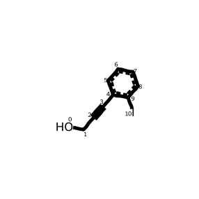 OCC#Cc1ccccc1I